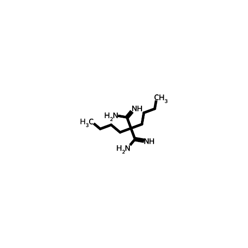 CCCCC(CCCC)(C(=N)N)C(=N)N